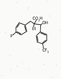 CCC(Cc1ccc(F)cc1)(C(=O)O)C(O)c1ccc(C(F)(F)F)cc1